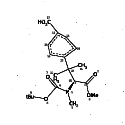 COC(=O)[C@@H](N(C)C(=O)OC(C)(C)C)C(C)(C)c1ccc(C(=O)O)cc1